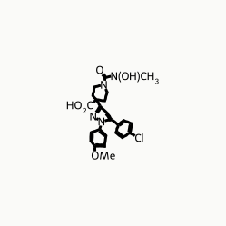 COc1ccc(-n2nc(C3(C(=O)O)CCN(C(=O)N(C)O)CC3)cc2-c2ccc(Cl)cc2)cc1